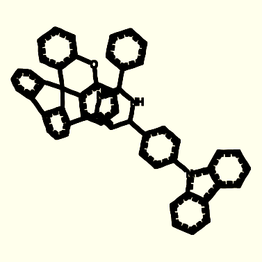 C1=C(c2cccc3c2C2(c4ccccc4Oc4ccccc42)c2ccccc2-3)N=C(c2ccccc2)NC1c1ccc(-n2c3ccccc3c3ccccc32)cc1